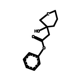 O=C(CC1(O)CCCCC1)Oc1ccccc1